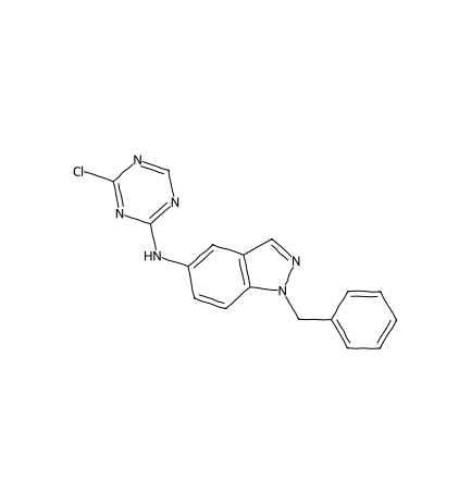 Clc1ncnc(Nc2ccc3c(cnn3Cc3ccccc3)c2)n1